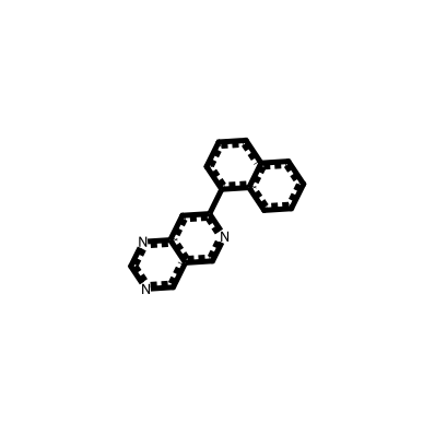 c1ccc2c(-c3cc4ncncc4cn3)cccc2c1